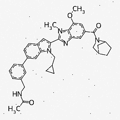 COc1cc(C(=O)N2CC3CCC2C3)cc2nc(-c3cc4ccc(-c5cccc(CNC(C)=O)c5)cc4n3CC3CC3)n(C)c12